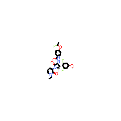 CCn1cccc(N2C(=O)C(NC(=O)c3ccc(OC(C)F)cc3)[C@H](c3c(F)cc(OC)cc3F)[C@@H]2C)c1=O